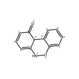 O=C1C=CC=C2NOc3ccccc3C12